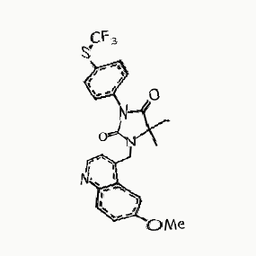 COc1ccc2nccc(CN3C(=O)N(c4ccc(SC(F)(F)F)cc4)C(=O)C3(C)C)c2c1